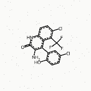 Nc1c(-c2cc(Cl)ccc2O)c2c(C(F)(F)F)c(Cl)ccc2[nH]c1=O